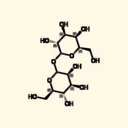 OC[C@H]1OC(OC2O[C@H](CO)[C@@H](O)[C@H](O)[C@@H]2O)[C@H](O)[C@@H](O)[C@H]1O